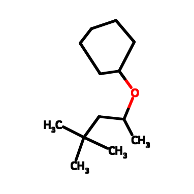 CC(CC(C)(C)C)OC1CCCCC1